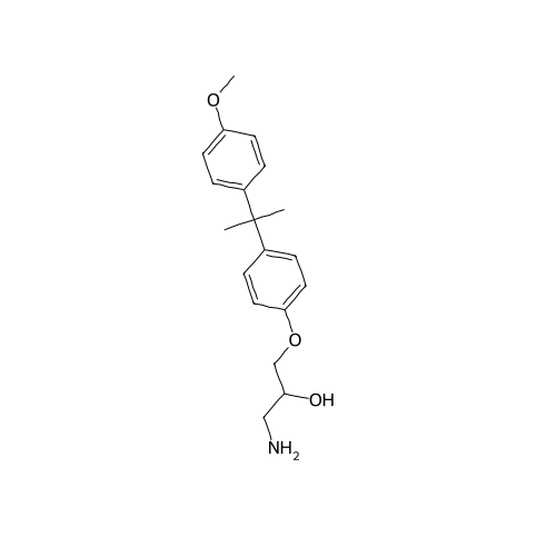 COc1ccc(C(C)(C)c2ccc(OCC(O)CN)cc2)cc1